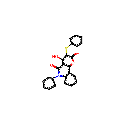 O=c1oc2c(c(O)c1Sc1ccccc1)c(=O)n(-c1ccccc1)c1ccccc21